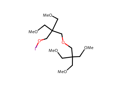 COCC(COC)(COC)COCC(COC)(COC)COI